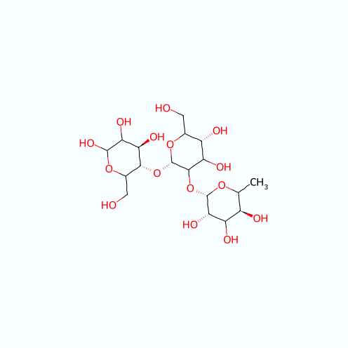 CC1O[C@@H](OC2C(O)[C@@H](O)C(CO)O[C@H]2O[C@@H]2C(CO)OC(O)C(O)[C@H]2O)[C@@H](O)C(O)[C@@H]1O